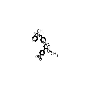 CCOC(=O)C(CC(=O)N1CCC(Cn2c(C)nc3cnccc32)CC1)c1ccc([N+](=O)[O-])cc1